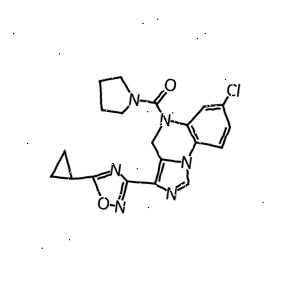 O=C(N1CCCC1)N1Cc2c(-c3noc(C4CC4)n3)ncn2-c2ccc(Cl)cc21